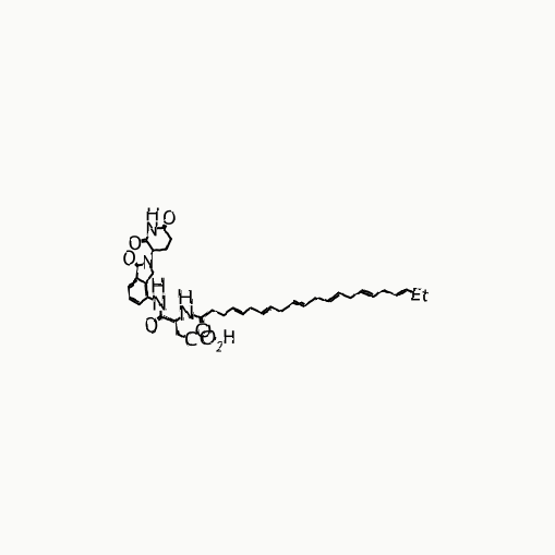 CCC=CCC=CCC=CCC=CCC=CCC=CCCC(=O)N[C@@H](CC(=O)O)C(=O)Nc1cccc2c1CN(C1CCC(=O)NC1=O)C2=O